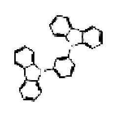 [c]1c(-n2c3ccccc3c3ccccc32)cccc1-n1c2ccccc2c2ccccc21